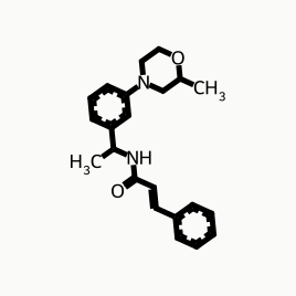 CC1CN(c2cccc(C(C)NC(=O)C=Cc3ccccc3)c2)CCO1